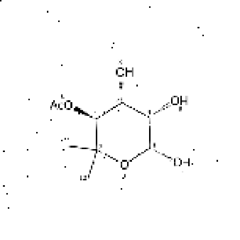 CC(=O)O[C@H]1[C@H](O)[C@H](O)[C@H](O)OC1(C)C